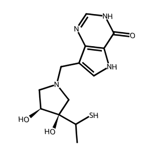 CC(S)[C@@]1(O)CN(Cc2c[nH]c3c(=O)[nH]cnc23)C[C@@H]1O